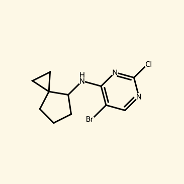 Clc1ncc(Br)c(NC2CCCC23CC3)n1